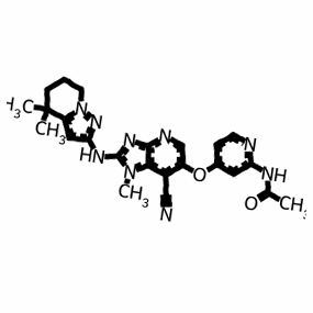 CC(=O)Nc1cc(Oc2cnc3nc(Nc4cc5n(n4)CCCC5(C)C)n(C)c3c2C#N)ccn1